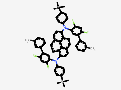 C[Si](C)(C)c1ccc(N(c2cc(-c3cccc(C(F)(F)F)c3)c(F)cc2F)c2ccc3ccc4c(N(c5ccc([Si](C)(C)C)cc5)c5cc(-c6cccc(C(F)(F)F)c6)c(F)cc5F)ccc5ccc2c3c54)cc1